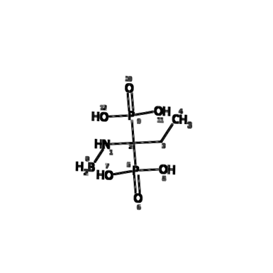 BNC(CC)(P(=O)(O)O)P(=O)(O)O